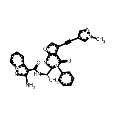 C[C@H](NC(=O)c1c(N)nn2ccccc12)c1nc2occ(C#Cc3cnn(C)c3)c2c(=O)n1-c1ccccc1